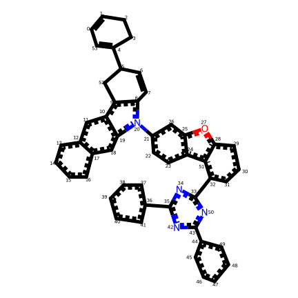 C1=CCCC(C2C=Cc3c(c4cc5ccccc5cc4n3-c3ccc4c(c3)oc3cccc(-c5nc(-c6ccccc6)nc(-c6ccccc6)n5)c34)C2)=C1